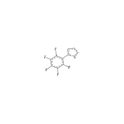 Fc1c(F)c(F)c(-c2cc[c]s2)c(F)c1F